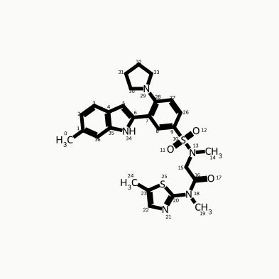 Cc1ccc2cc(-c3cc(S(=O)(=O)N(C)CC(=O)N(C)c4ncc(C)s4)ccc3N3CCCC3)[nH]c2c1